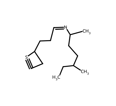 CCC(C)CCC(C)/N=C\CCC1CC#S1